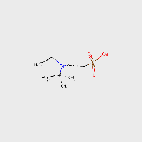 CCN(CCS(=O)(=O)O)C(C)(C)C